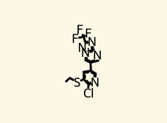 CCSc1cc(-c2cnc3nc(C(F)(F)F)nn3c2)cnc1Cl